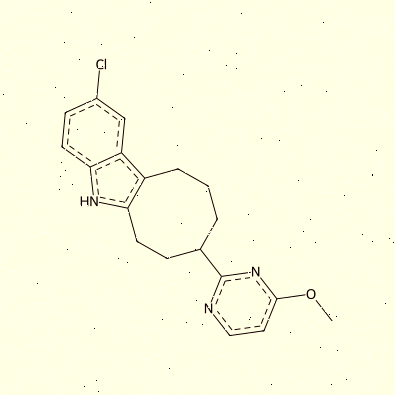 COc1ccnc(C2CCCc3c([nH]c4ccc(Cl)cc34)CC2)n1